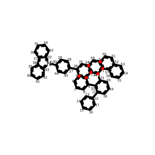 c1ccc(-c2ccccc2-c2c(-c3ccccc3)cccc2N(c2ccc(-c3ccc(-n4c5ccccc5c5ccccc54)cc3)cc2)c2cccc3ccccc23)cc1